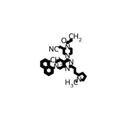 C=CC(=O)N1CCN(c2nc(CCC3CCCN3C)nc3c2CCN(c2cccc4cccc(C)c24)C3)CC1CC#N